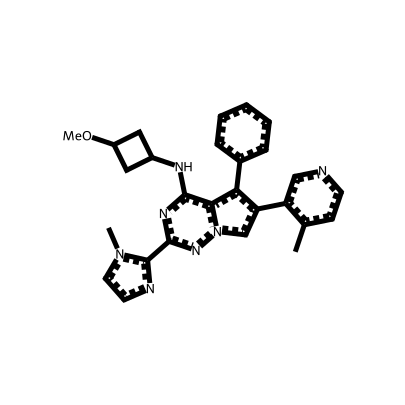 COC1CC(Nc2nc(-c3nccn3C)nn3cc(-c4cnccc4C)c(-c4ccccc4)c23)C1